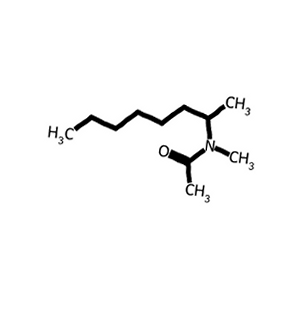 CCCCCCC(C)N(C)C(C)=O